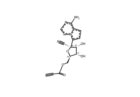 C#CC(=O)OC[C@H]1O[C@@](C#N)(c2ccc3c(N)ncnn23)[C@H](O)[C@@H]1O